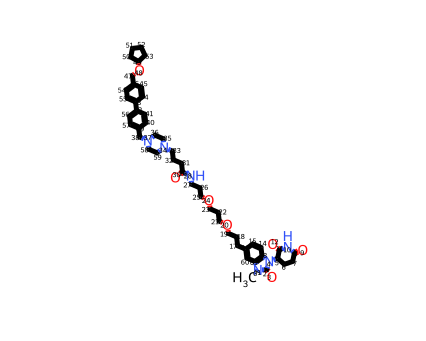 Cn1c(=O)n(C2CCC(=O)NC2=O)c2ccc(CCCOCCCOCCCNC(=O)CCCN3CCN(Cc4ccc(-c5ccc(COC6CCCC6)cc5)cc4)CC3)cc21